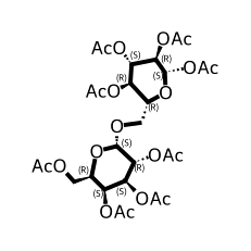 CC(=O)OC[C@H]1O[C@H](OC[C@H]2O[C@@H](OC(C)=O)[C@H](OC(C)=O)[C@@H](OC(C)=O)[C@@H]2OC(C)=O)[C@H](OC(C)=O)[C@@H](OC(C)=O)[C@H]1OC(C)=O